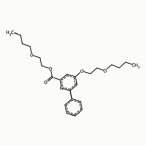 CCCCOCCOC(=O)c1cc(OCCOCCCC)cc(-c2ccccc2)n1